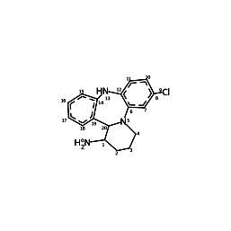 NC1CCCN2c3cc(Cl)ccc3Nc3ccccc3C12